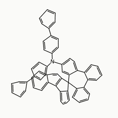 c1ccc(-c2ccc(N(c3ccc(-c4ccccc4)cc3)c3ccc4c(c3)C3(c5ccccc5-c5ccccc5-4)c4ccccc4-c4c3ccc3ccccc43)cc2)cc1